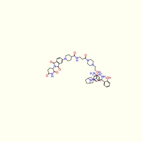 NC(N)=C(/C=C(\N)c1ccccc1O)N1CC2CCC(C1)N2c1cccc(OCCN2CCN(C(=O)CCNC(=O)C3CCN(c4ccc5c(c4)C(=O)N(C4CCC(=O)NC4=O)C5=O)CC3)CC2)c1